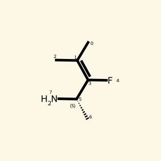 CC(C)=C(F)[C@H](C)N